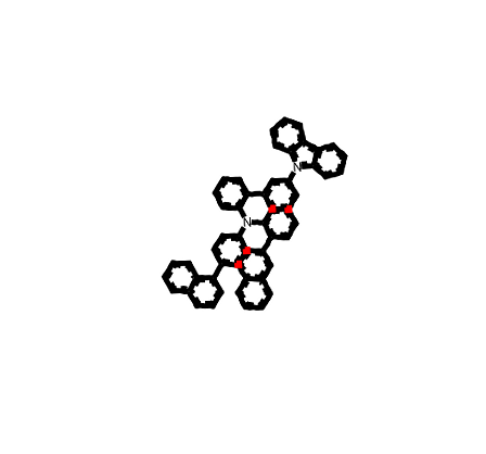 c1cc(-c2ccccc2N(c2ccc(-c3cccc4ccccc34)cc2)c2ccccc2-c2ccc3ccccc3c2)cc(-n2c3ccccc3c3ccccc32)c1